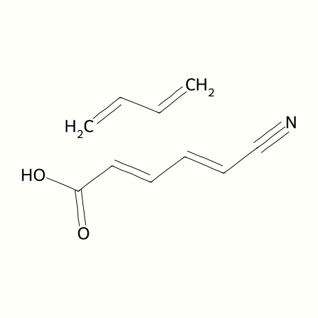 C=CC=C.N#CC=CC=CC(=O)O